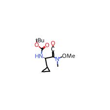 CON(C)C(=C=O)[C@@H](NC(=O)OC(C)(C)C)C1CC1